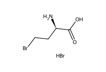 Br.N[C@H](CCBr)C(=O)O